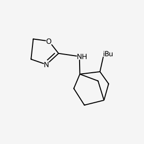 CCC(C)C1CC2CCC1(NC1=NCCO1)C2